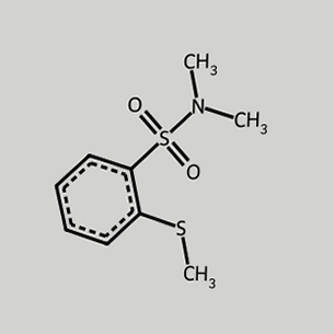 CSc1ccccc1S(=O)(=O)N(C)C